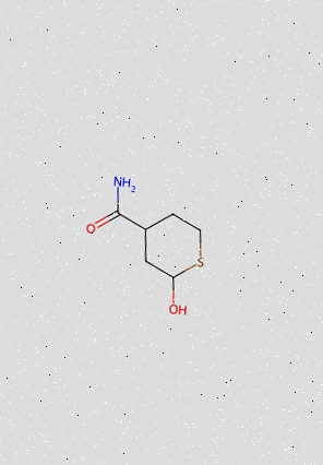 NC(=O)C1CCSC(O)C1